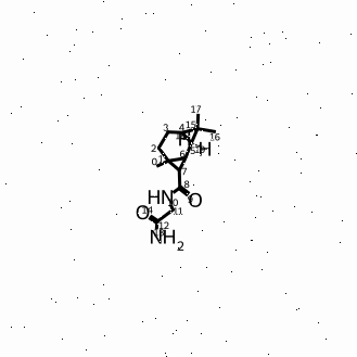 CC12CC[C@@H]3[C@H](C1C2C(=O)NCC(N)=O)C3(C)C